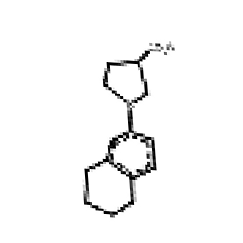 O=C(O)C1CCN(c2ccc3c(c2)CCCC3)C1